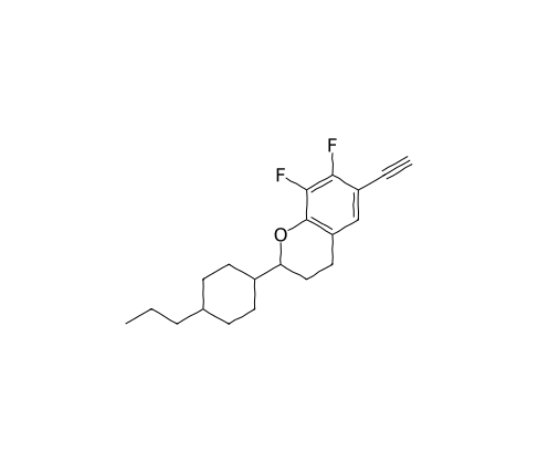 C#Cc1cc2c(c(F)c1F)OC(C1CCC(CCC)CC1)CC2